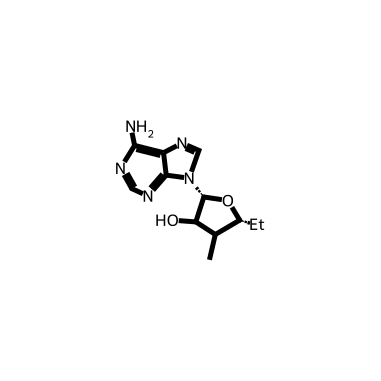 CC[C@H]1O[C@@H](n2cnc3c(N)ncnc32)C(O)C1C